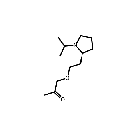 CC(=O)COCC[C@@H]1CCCN1C(C)C